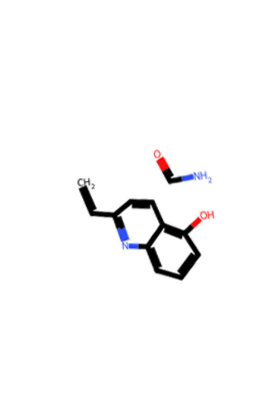 C=Cc1ccc2c(O)cccc2n1.NC=O